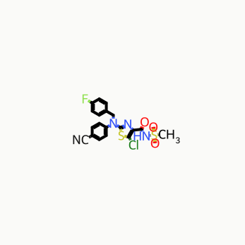 CS(=O)(=O)NC(=O)c1nc(N(Cc2ccc(F)cc2)c2ccc(C#N)cc2)sc1Cl